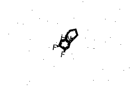 Fc1cc2c(cc1F)C1CCCC2N1